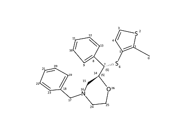 Cc1sccc1S[C@@H](c1ccccc1)[C@@H]1CN(Cc2ccccc2)CCO1